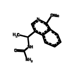 COc1ncc(C(C)NC(N)=O)c2ccccc12